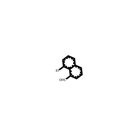 CCc1cccc2cccc([C]=O)c12